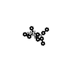 c1ccc(-c2ccc(N(c3ccc(-c4ccccc4)cc3)c3ccc(-c4nc(-c5ccccc5)nc(-c5cccc6c5oc5ccccc56)n4)c4oc5ccccc5c34)cc2)cc1